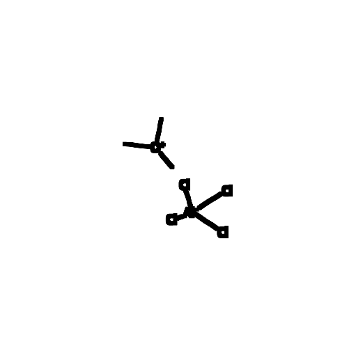 C[O+](C)C.[Cl][Al-]([Cl])([Cl])[Cl]